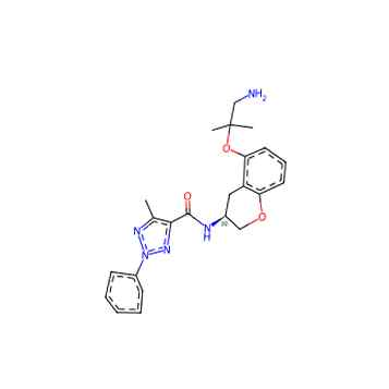 Cc1nn(-c2ccccc2)nc1C(=O)N[C@@H]1COc2cccc(OC(C)(C)CN)c2C1